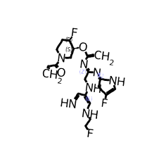 C=CC(=O)N1CC[C@@H](F)[C@@H](OC(=C)/N=C(CN/C(C=N)=C/NCCF)\N=C2/CC(F)=CN2)C1